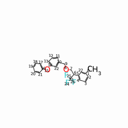 Cc1cccc(C(COCc2cccc(Oc3ccccc3)c2)C(F)(F)F)c1